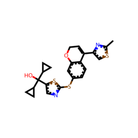 Cc1nc(C2=CCOc3cc(Sc4ncc(C(O)(C5CC5)C5CC5)s4)ccc32)cs1